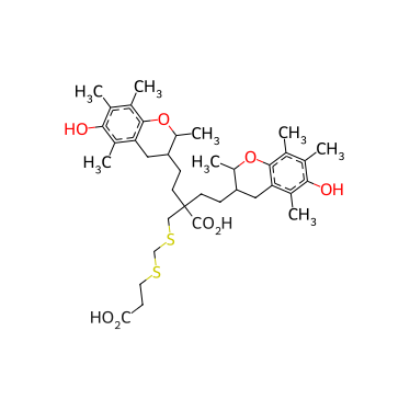 Cc1c(C)c2c(c(C)c1O)CC(CCC(CCC1Cc3c(C)c(O)c(C)c(C)c3OC1C)(CSCSCCC(=O)O)C(=O)O)C(C)O2